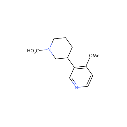 COc1ccncc1C1CCCN(C(=O)O)C1